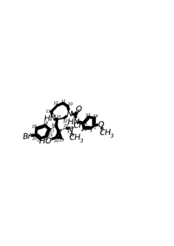 COc1ccc(NC(=O)N2CCCCN[C@H]([C@@H](c3ccc(Br)cc3)[C@@]3(CN(C)C)CC3O)C2)cc1